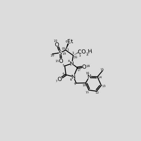 CC[C@@H]([C@H](C(=O)O)N1CC(=O)N(Cc2cccc(C)n2)C1=O)S(C)(=O)=O